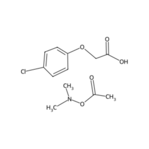 CC(=O)ON(C)C.O=C(O)COc1ccc(Cl)cc1